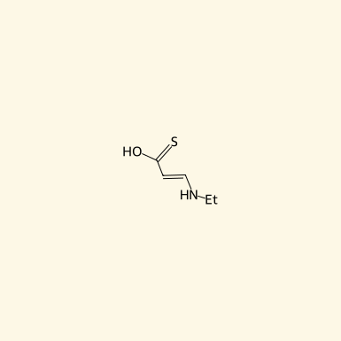 CCNC=CC(O)=S